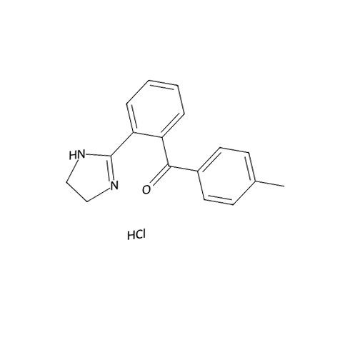 Cc1ccc(C(=O)c2ccccc2C2=NCCN2)cc1.Cl